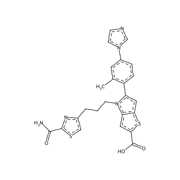 Cc1cc(-n2ccnc2)ccc1-c1cc2sc(C(=O)O)cc2n1CCCc1csc(C(N)=O)n1